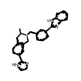 CC1Cc2ccc(-c3ncc[nH]3)cc2CN1Cc1cccc(-c2nc3ccccc3[nH]2)c1